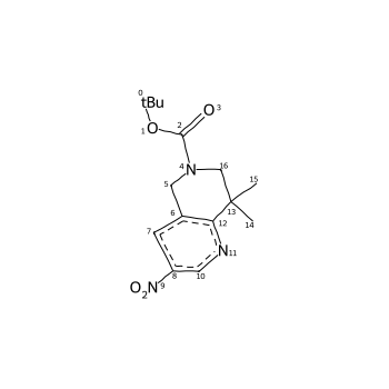 CC(C)(C)OC(=O)N1Cc2cc([N+](=O)[O-])cnc2C(C)(C)C1